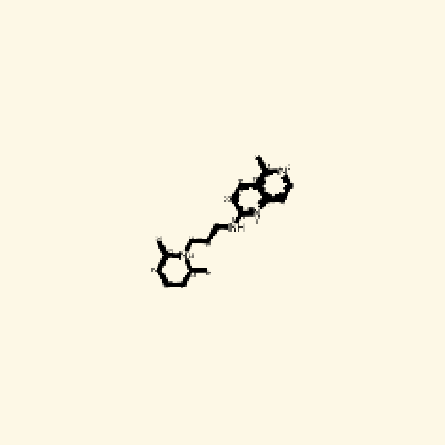 Cc1nccc2nc(NCCCN3C(C)CCCC3C)ccc12